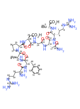 CC[C@H](C)[C@H](NC(=O)[C@H](CCCN=C(N)N)NC(=O)[C@H](CC(N)=O)NC(=O)CNC(=O)[C@H](CC(=O)O)NC(=O)[C@@H]1CCCN1C(=O)[C@@H](NC(=O)[C@H](Cc1ccccc1)NC(=O)[C@@H](N)CCCN=C(N)N)C(C)C)C(=O)O